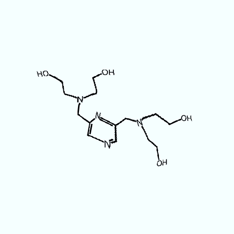 OCCN(CCO)Cc1cncc(CN(CCO)CCO)n1